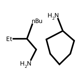 CCCCC(CC)CN.NC1CCCCC1